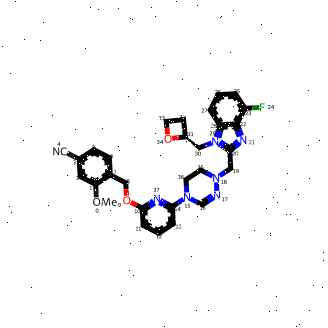 COc1cc(C#N)ccc1COc1cccc(N2C=NN(Cc3nc4c(F)cccc4n3C[C@@H]3CCO3)CC2)n1